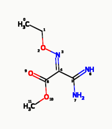 CCON=C(C(=N)N)C(=O)OC